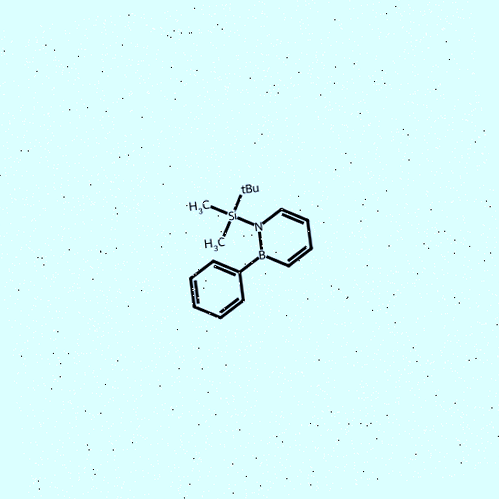 CC(C)(C)[Si](C)(C)N1C=CC=CB1c1ccccc1